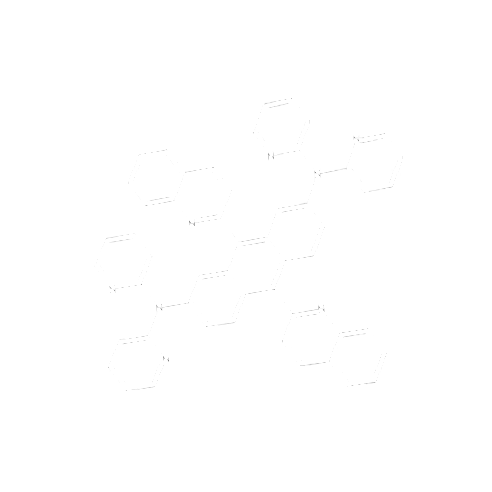 c1ccc(N(c2ccc3c(-c4ccc5ccccc5n4)c4ccc(N(c5ccccn5)c5ccccn5)cc4c(-c4ccc5ccccc5n4)c3c2)c2ccccn2)nc1